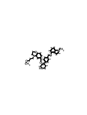 COCCCN1CCOc2ccc(COC3CNCCC3c3ccc(COc4cccc5c4ccn5C)cc3)cc21